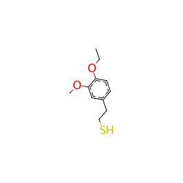 CCOc1ccc(CCS)cc1OC